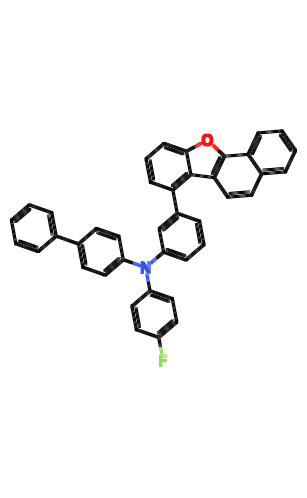 Fc1ccc(N(c2ccc(-c3ccccc3)cc2)c2cccc(-c3cccc4oc5c6ccccc6ccc5c34)c2)cc1